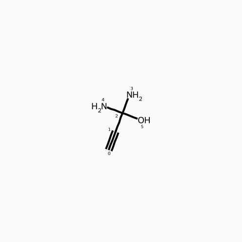 C#CC(N)(N)O